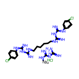 CCCCNC(=N)NC(=N)N.Cl.N=C(NCCCCCCNC(=N)NC(=N)Nc1ccc(Cl)cc1)NC(=N)Nc1ccc(Cl)cc1